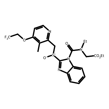 CCOC(=O)CN(CC)C(=O)n1c([S+]([O-])Cc2nccc(OCC(F)(F)F)c2C)nc2ccccc21